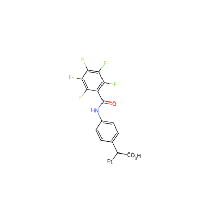 CCC(C(=O)O)c1ccc(NC(=O)c2c(F)c(F)c(F)c(F)c2F)cc1